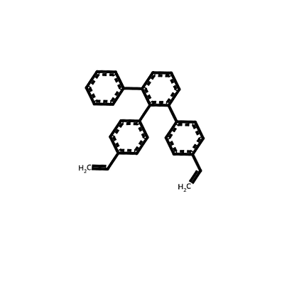 C=Cc1ccc(-c2cccc(-c3ccccc3)c2-c2ccc(C=C)cc2)cc1